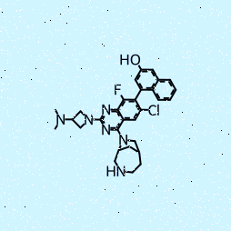 CN(C)C1CN(c2nc(N3CC4CCNCC3C4)c3cc(Cl)c(-c4cc(O)cc5ccccc45)c(F)c3n2)C1